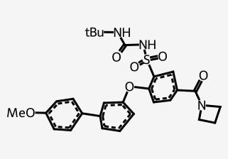 COc1ccc(-c2cccc(Oc3ccc(C(=O)N4CCC4)cc3S(=O)(=O)NC(=O)NC(C)(C)C)c2)cc1